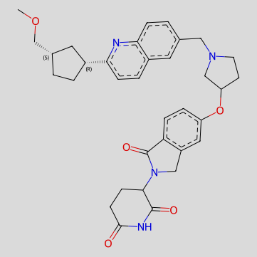 COC[C@H]1CC[C@@H](c2ccc3cc(CN4CCC(Oc5ccc6c(c5)CN(C5CCC(=O)NC5=O)C6=O)C4)ccc3n2)C1